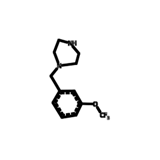 FC(F)(F)Oc1cccc(CN2CCNCC2)c1